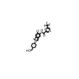 O=C(Nc1cc2cn(C3CCC(CO)CC3)nc2cc1Cl)c1cncc(C(F)(F)F)n1